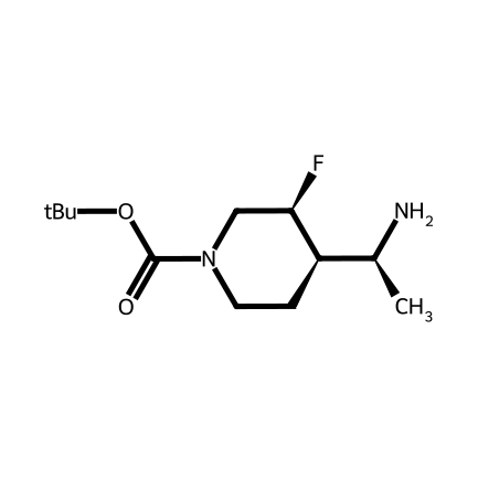 C[C@H](N)[C@H]1CCN(C(=O)OC(C)(C)C)C[C@H]1F